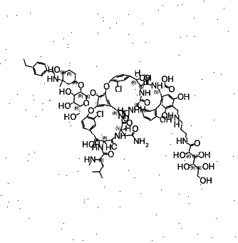 CCc1ccc(CNC2(C)C[C@H](O[C@@H]3C(O)C(O)[C@@H](CO)O[C@H]3Oc3c4cc5cc3Oc3ccc(cc3Cl)[C@@H](O)[C@@H](NC(=O)[C@@H](CC(C)C)NC)C(=O)N[C@@H](CC(N)=O)C(=O)N[C@H]5C(=O)N[C@@H]3C(=O)N[C@H](C(=O)N[C@H](C(=O)O)c5cc(O)c(CNCCCNC(=O)[C@H](O)[C@@H](O)[C@H](O)[C@H](O)CO)c(O)c5-c5cc3ccc5O)[C@H](O)c3ccc(c(Cl)c3)O4)C[C@@H](C)[C@H]2O)cc1